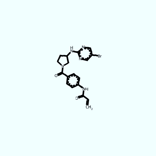 C=CC(=O)Nc1ccc(C(=O)N2CCC(Nc3ncc(Br)cn3)C2)cc1